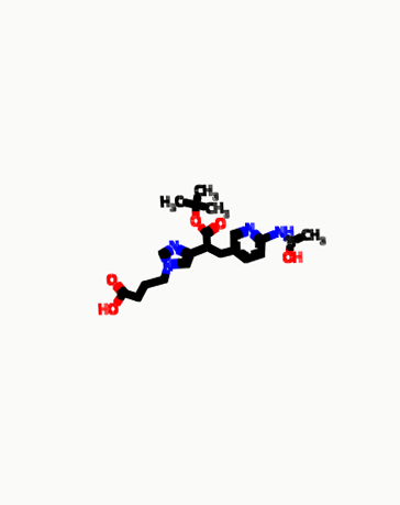 CB(O)Nc1ccc(CC(C(=O)OC(C)(C)C)c2cn(CCCC(=O)O)cn2)cn1